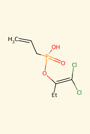 C=CCP(=O)(O)OC(CC)=C(Cl)Cl